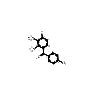 O=C(c1ccc(Cl)cc1)c1ccc(Cl)c([N+](=O)[O-])c1[N+](=O)[O-]